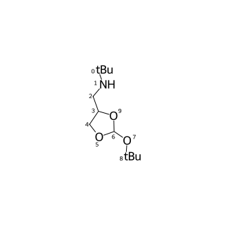 CC(C)(C)NCC1COC(OC(C)(C)C)O1